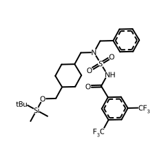 CC(C)(C)[Si](C)(C)OCC1CCC(CN(Cc2ccccc2)S(=O)(=O)NC(=O)c2cc(C(F)(F)F)cc(C(F)(F)F)c2)CC1